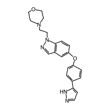 c1cc(-c2ccc(Oc3ccc4c(cnn4CCN4CCOCC4)c3)cc2)[nH]n1